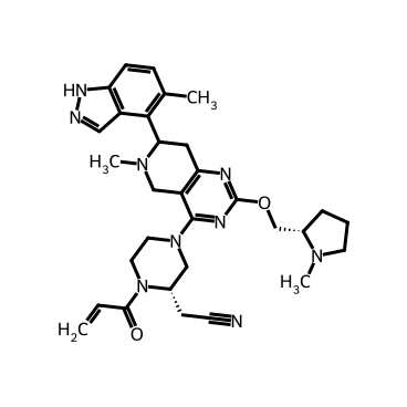 C=CC(=O)N1CCN(c2nc(OC[C@@H]3CCCN3C)nc3c2CN(C)C(c2c(C)ccc4[nH]ncc24)C3)C[C@@H]1CC#N